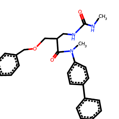 CNC(=O)NCC(COCc1ccccc1)C(=O)N(C)c1ccc(-c2ccccc2)cc1